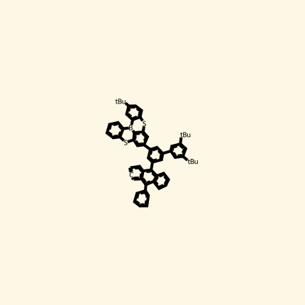 CC(C)(C)c1cc(-c2cc(-c3cc4c5c(c3)Sc3ccc(C(C)(C)C)cc3B5c3ccccc3S4)cc(-c3c4ccccc4c(-c4ccccc4)c4ccccc34)c2)cc(C(C)(C)C)c1